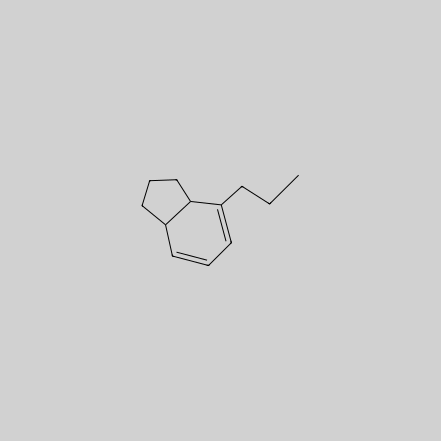 CCCC1=CC=CC2CCCC12